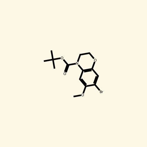 COc1cc2c(cc1Br)OCCN2C(=O)OC(C)(C)C